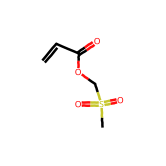 C=CC(=O)OCS(C)(=O)=O